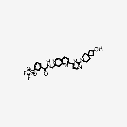 O=C(NCc1cc2nc(-c3ccnc(N4CCC5(CC4)CC(O)C5)n3)ccc2cn1)c1cccc(S(=O)(=O)C(F)F)c1